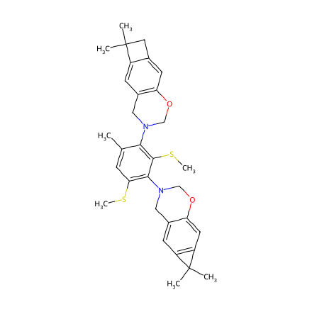 CSc1cc(C)c(N2COc3cc4c(cc3C2)C(C)(C)C4)c(SC)c1N1COc2cc3c(cc2C1)C3(C)C